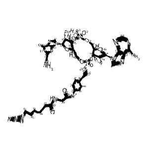 BP1(=O)OC[C@H]2O[C@@H](n3cnc4c(N)ncnc43)[C@H](F)[C@@H]2O[P@@](=O)(SCc2ccc(NC(=O)CNC(=O)CCCCCN=[N+]=[N-])cc2)OC[C@H]2O[C@@H](n3cnc4c(=O)[nH]c(N)nc43)[C@H](F)[C@@H]2O1